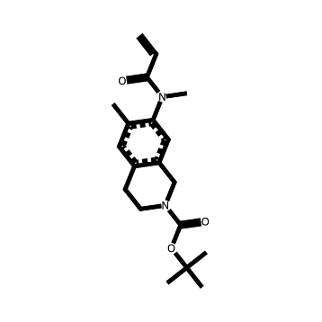 C=CC(=O)N(C)c1cc2c(cc1C)CCN(C(=O)OC(C)(C)C)C2